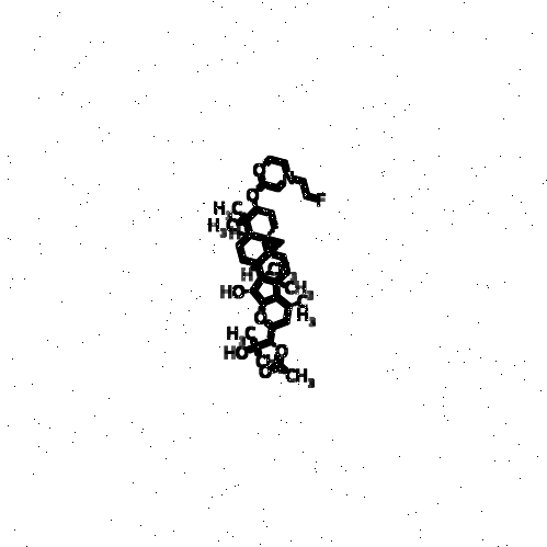 CC(=O)O[C@@H](C1C[C@@H](C)C2C(O1)[C@H](O)[C@@]1(C)[C@@H]3CC[C@H]4C(C)(C)[C@@H](OC5CN(CCF)CCO5)CC[C@@]45CC35CC[C@]21C)C(C)(C)O